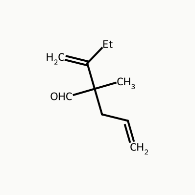 C=CCC(C)(C=O)C(=C)CC